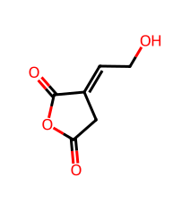 O=C1CC(=CCO)C(=O)O1